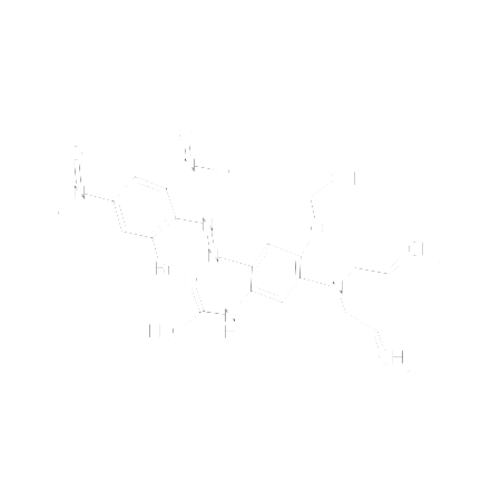 C=CCN(CC=C)c1cc(NC(C)=O)c(N=Nc2c(Br)cc([N+](=O)[O-])cc2[N+](=O)[O-])cc1OCC